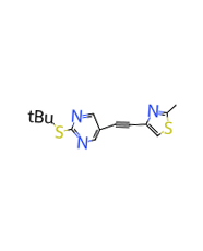 Cc1nc(C#Cc2cnc(SC(C)(C)C)nc2)cs1